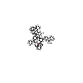 Cc1cc2c3c(c1)N(c1ccccc1)c1c(ccc4c1OCCO4)B3c1ccc(N(c3ccccc3)c3ccccc3)cc1N2c1cc(-c2ccc3c(c2)C(C)(C)c2ccccc2-3)cc(-c2cc3ccccc3o2)c1